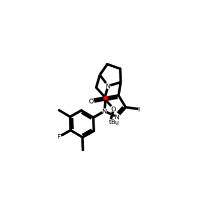 Cc1cc(-n2nc(I)c3c2CC2CCC3N2C(=O)OC(C)(C)C)cc(C)c1F